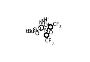 CC(C)(C)OC(=O)N1C[C@H](N=[N+]=[N-])[C@@H](O)[C@@H](N2c3ccc(C(F)(F)F)cc3Oc3cc(C(F)(F)F)ccc32)C1